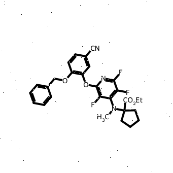 CCOC(=O)C1(N(C)c2c(F)c(F)nc(Oc3cc(C#N)ccc3OCc3ccccc3)c2F)CCCC1